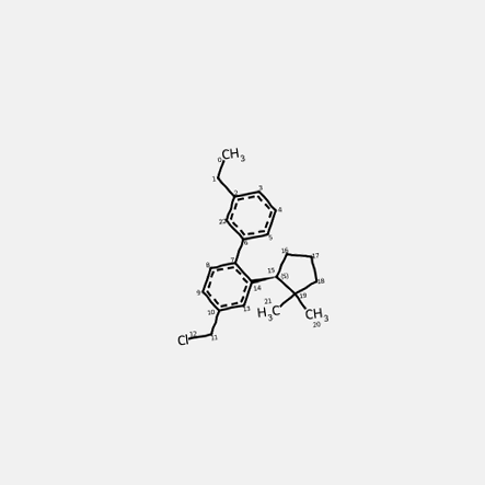 CCc1cccc(-c2ccc(CCl)cc2[C@H]2CCCC2(C)C)c1